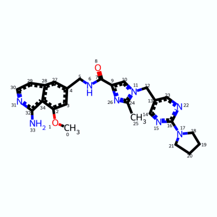 COc1cc(CNC(=O)c2cn(Cc3cnc(N4CCCC4)nc3)c(C)n2)cc2ccnc(N)c12